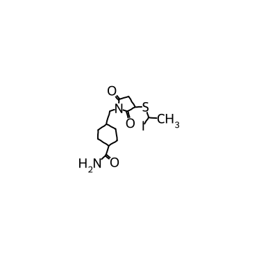 CC(I)SC1CC(=O)N(CC2CCC(C(N)=O)CC2)C1=O